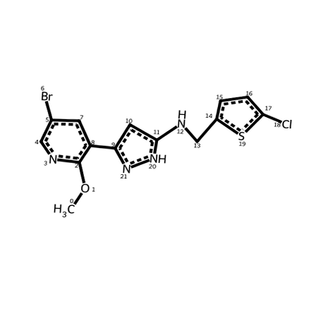 COc1ncc(Br)cc1-c1cc(NCc2ccc(Cl)s2)[nH]n1